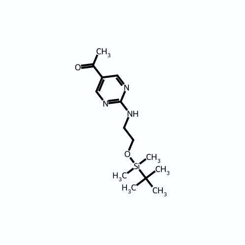 CC(=O)c1cnc(NCCO[Si](C)(C)C(C)(C)C)nc1